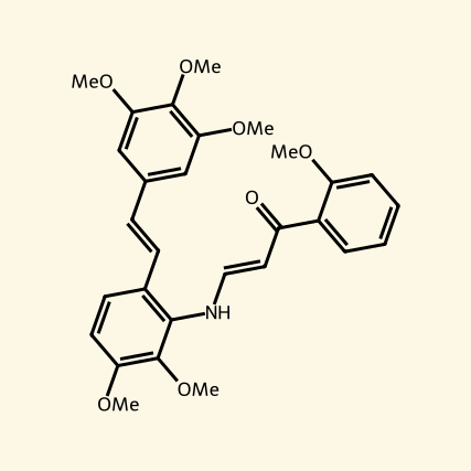 COc1ccccc1C(=O)C=CNc1c(C=Cc2cc(OC)c(OC)c(OC)c2)ccc(OC)c1OC